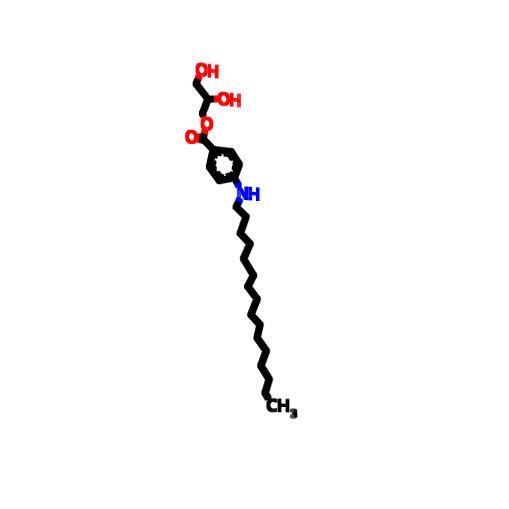 CCCCCCCCCCCCCCCCNc1ccc(C(=O)OCC(O)CO)cc1